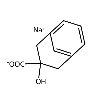 O=C([O-])C1(O)Cc2cccc(c2)C1.[Na+]